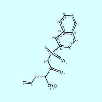 C=CCC(C(=O)NS(=O)(=O)c1ccc2ccccc2c1)C(=O)OCC